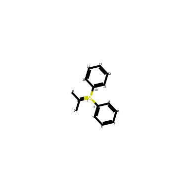 CC(C)=S(c1ccccc1)c1ccccc1